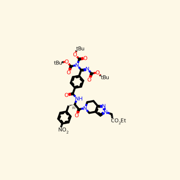 CCOC(=O)Cn1cc2c(n1)CCN(C(=O)[C@H](Cc1ccc([N+](=O)[O-])cc1)NC(=O)c1ccc(C(=NC(=O)OC(C)(C)C)N(C(=O)OC(C)(C)C)C(=O)OC(C)(C)C)cc1)C2